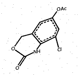 CC(=O)Oc1cc(Cl)c2c(c1)COC(=O)N2